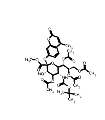 COC(=O)[C@]1(Oc2ccc3c(C)cc(=O)oc3c2)OC([C@H](OC(C)=O)[C@@H](COC(C)=O)OC(C)=O)[C@H](NC(=O)OC(C)(C)C)C(OC(C)=O)[C@@H]1O